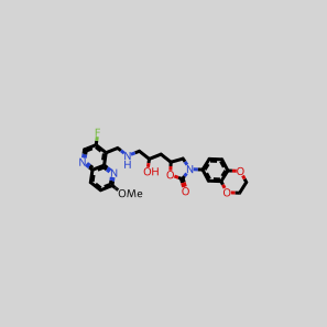 COc1ccc2ncc(F)c(CNCC(O)CC3CN(c4ccc5c(c4)OCCO5)C(=O)O3)c2n1